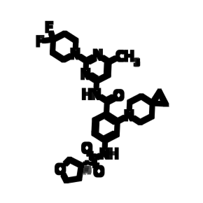 Cc1cc(NC(=O)c2ccc(NS(=O)(=O)[C@@H]3CCOC3)cc2N2CCC3(CC2)CC3)nc(N2CCC(F)(F)CC2)n1